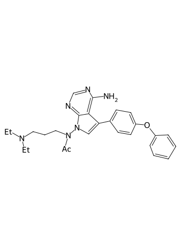 CCN(CC)CCCN(C(C)=O)n1cc(-c2ccc(Oc3ccccc3)cc2)c2c(N)ncnc21